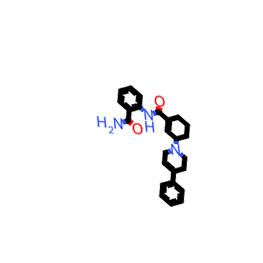 NC(=O)c1ccccc1NC(=O)C1=CC(N2CC=C(c3ccccc3)CC2)CCC1